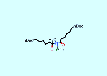 CCCCCCCCCCCCCCCC(=O)[N+](C)(C)C(=O)CCCCCCCCCCCCCCC.[Cl-]